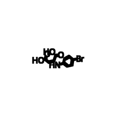 O=C(O)C=C(Nc1ccc(Br)cc1)C(=O)O